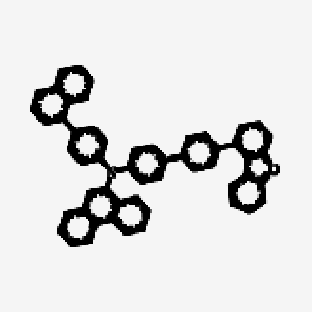 c1ccc2c(-c3ccc(N(c4ccc(-c5ccc(-c6cccc7oc8ccccc8c67)cc5)cc4)c4cc5ccccc5c5ccccc45)cc3)cccc2c1